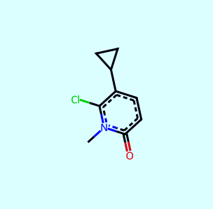 Cn1c(Cl)c(C2CC2)ccc1=O